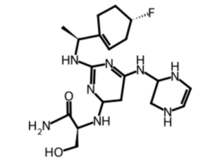 C[C@H](NC1=NC(N[C@@H](CO)C(N)=O)CC(NC2CNC=CN2)=N1)C1=CC[C@@H](F)CC1